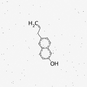 C=CCc1ccc2[c]c(O)ccc2c1